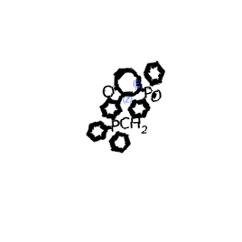 C=P(C1=C=C=CC=C1)(c1ccccc1)c1ccc2c(c1)/C1=C/C(P(=O)(c3ccccc3)c3ccccc3)=C\CC#CC1O2